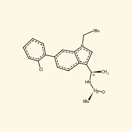 C[C@@H](N[S@@+]([O-])C(C)(C)C)c1cn(CC(C)(C)C)c2cc(-c3ccccc3Cl)ccc12